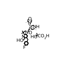 C[C@@H]1CN(CC(=O)N2CC(C)(C)c3nc(CO)c(Cc4ccc(F)cc4)cc32)[C@@H](CN2CCOC[C@H]2C)CN1.C[C@H](O)C(=O)O